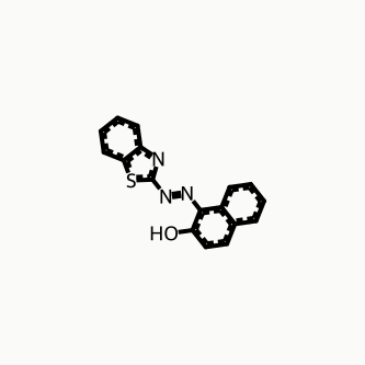 Oc1ccc2ccccc2c1N=Nc1nc2ccccc2s1